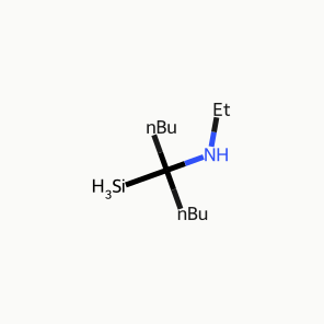 CCCCC([SiH3])(CCCC)NCC